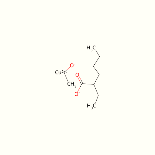 CCCCC(CC)C(=O)[O-].CC[O-].[Cu+2]